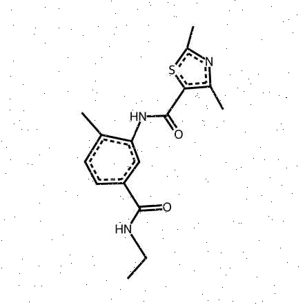 CCNC(=O)c1ccc(C)c(NC(=O)c2sc(C)nc2C)c1